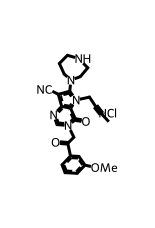 CC#CCn1c(N2CCCNCC2)c(C#N)c2ncn(CC(=O)c3cccc(OC)c3)c(=O)c21.Cl